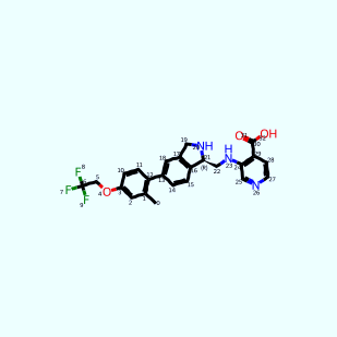 Cc1cc(OCC(F)(F)F)ccc1-c1ccc2c(c1)CN[C@H]2CNc1cnccc1C(=O)O